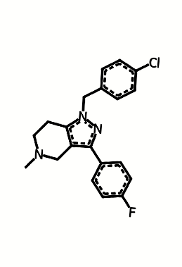 CN1CCc2c(c(-c3ccc(F)cc3)nn2Cc2ccc(Cl)cc2)C1